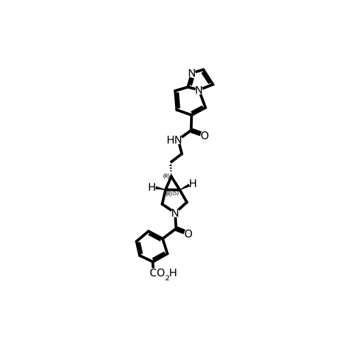 O=C(O)c1cccc(C(=O)N2C[C@@H]3[C@H](CCNC(=O)c4ccc5nccn5c4)[C@@H]3C2)c1